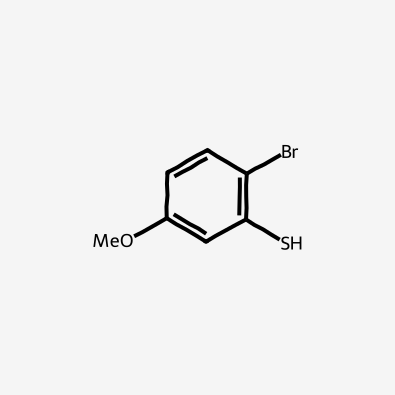 COc1ccc(Br)c(S)c1